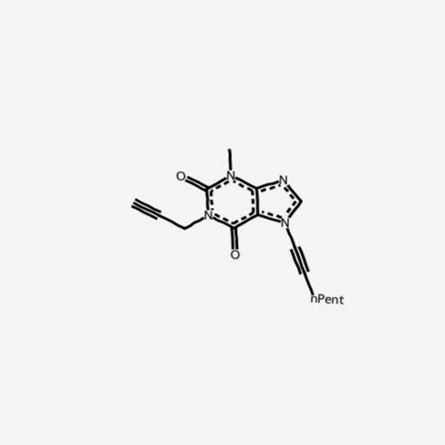 C#CCn1c(=O)c2c(ncn2C#CCCCCC)n(C)c1=O